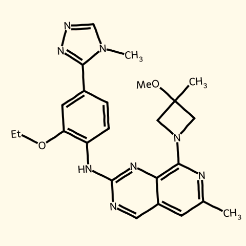 CCOc1cc(-c2nncn2C)ccc1Nc1ncc2cc(C)nc(N3CC(C)(OC)C3)c2n1